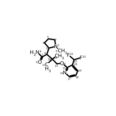 CN1CCCC1C(C(N)=O)C(C)(C)COc1ncccc1C(F)F